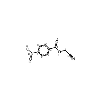 N#CCOC(=O)c1ccc([N+](=O)[O-])cc1